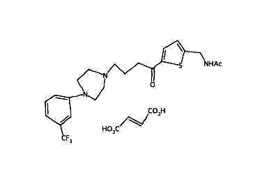 CC(=O)NCc1ccc(C(=O)CCCN2CCN(c3cccc(C(F)(F)F)c3)CC2)s1.O=C(O)C=CC(=O)O